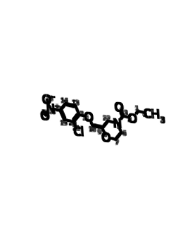 CCOC(=O)N1CCOC(=COc2ccc([N+](=O)[O-])cc2Cl)C1